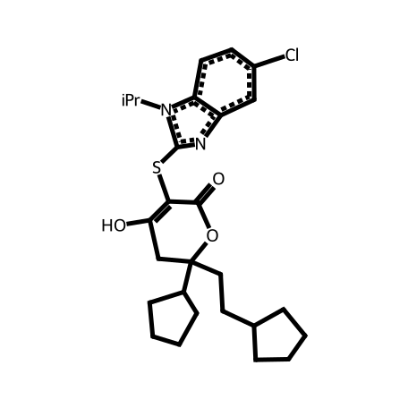 CC(C)n1c(SC2=C(O)CC(CCC3CCCC3)(C3CCCC3)OC2=O)nc2cc(Cl)ccc21